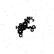 COC(=O)CCCC#Cc1cc(Cl)ccc1NS(=O)(=O)c1ccc2nc(N)sc2c1